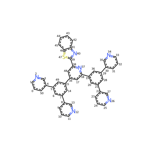 c1cncc(-c2cc(-c3cccnc3)cc(-c3cc(-c4cc(-c5cccnc5)cc(-c5cccnc5)c4)nc(-c4nc5ccccc5s4)c3)c2)c1